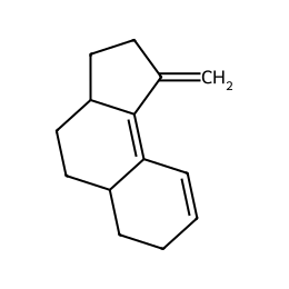 C=C1CCC2CCC3CCC=CC3=C12